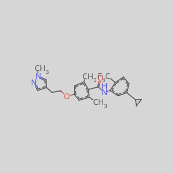 Cc1cc(OCCc2cnn(C)c2)cc(C)c1C(=O)Nc1cc(C2CC2)ccc1C(F)(F)F